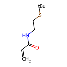 C=CC(=O)NCCSC(C)(C)C